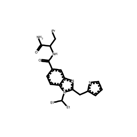 CCC(CC)n1c(Cc2cccs2)nc2cc(C(=O)NC(CC(C)C)C(N)=O)ccc21